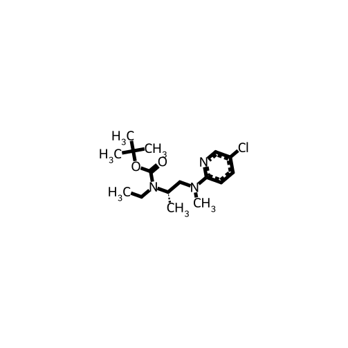 CCN(C(=O)OC(C)(C)C)[C@@H](C)CN(C)c1ccc(Cl)cn1